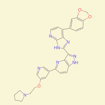 c1cc(-c2ccc3c(c2)OCO3)c2nc(-c3n[nH]c4ccc(-c5cncc(OCCN6CCCC6)c5)nc34)[nH]c2n1